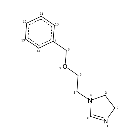 C1=NCCN1CCOCc1ccccc1